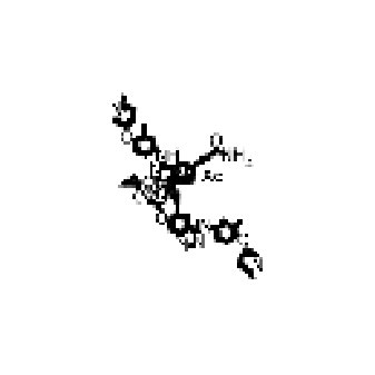 COC1(C(=O)O)CC1.COCCOc1cc2ncnc(Nc3ccc(Oc4ccc(C)nc4)c(C)c3)c2cc1C#CCNC(C)=O.Cc1ccc(Oc2ccc(Nc3ncnc4ccc(C#CC(N)=O)cc34)cc2C)cn1